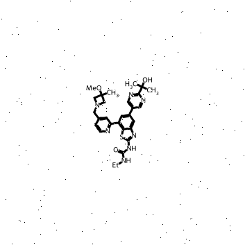 CCNC(=O)Nc1nc2cc(-c3cnc(C(C)(C)O)nc3)cc(-c3cc(CN4CC(C)(OC)C4)ccn3)c2s1